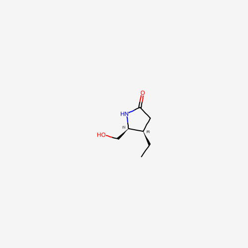 CC[C@@H]1CC(=O)N[C@@H]1CO